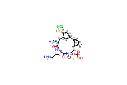 CN1C(=O)[C@H](CCCN)NC(=O)[C@@H](N)Cc2cc(ccc2O)-c2ccc(F)c(c2)C[C@@H]1OC(=O)O.Cl.Cl